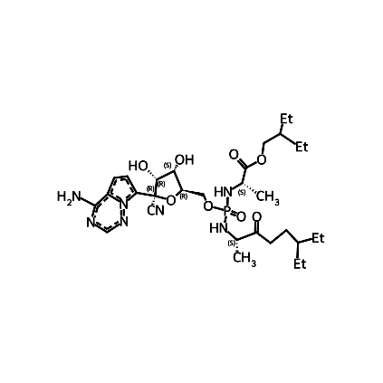 CCC(CC)CCC(=O)[C@H](C)NP(=O)(N[C@@H](C)C(=O)OCC(CC)CC)OC[C@H]1O[C@@](C#N)(c2ccc3c(N)ncnn23)[C@H](O)[C@@H]1O